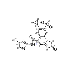 CS(=O)(=O)c1ccc(/C(=C\[C@H]2CCC(=O)C2)C(=O)Nc2ncc(F)s2)cc1C1CC1